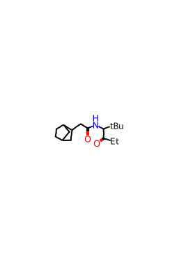 CCC(=O)C(NC(=O)CC1CC2CCC1C2)C(C)(C)C